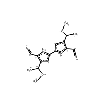 COC(C)c1cc(-c2cc(C(C)OC)c(C=O)[nH]2)[nH]c1C=O